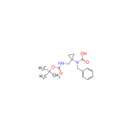 CC(C)(C)OC(=O)NCC1(N(Cc2ccccc2)C(=O)O)CC1